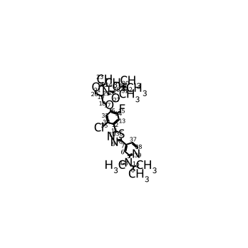 CC(C)N(C)c1cc(-c2nnc(-c3cc(F)c(OCC4COC(C)(C)N4C(=O)OC(C)(C)C)cc3Cl)s2)ccn1